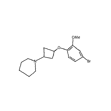 COc1cc(Br)ccc1OC1CC(N2CCCCC2)C1